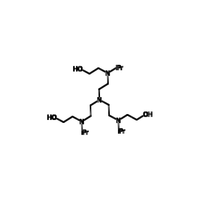 CC(C)N(CCO)CCN(CCN(CCO)C(C)C)CCN(CCO)C(C)C